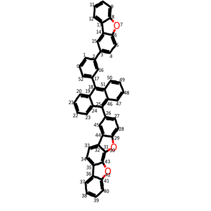 c1cc(-c2ccc3oc4ccccc4c3c2)cc(-c2c3ccccc3c(-c3ccc4oc5c(ccc6c7ccccc7oc65)c4c3)c3ccccc23)c1